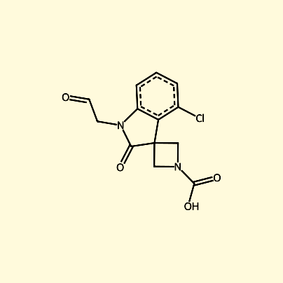 O=CCN1C(=O)C2(CN(C(=O)O)C2)c2c(Cl)cccc21